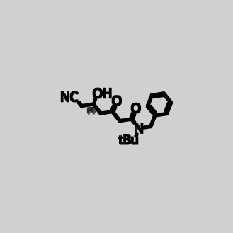 CC(C)(C)N(Cc1ccccc1)C(=O)CC(=O)C[C@H](O)CC#N